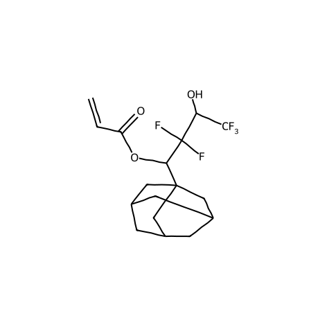 C=CC(=O)OC(C12CC3CC(CC(C3)C1)C2)C(F)(F)C(O)C(F)(F)F